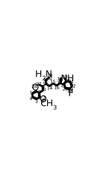 COc1cccc2c1C[C@H](C(CCN)CCCc1c[nH]c3ccc(F)cc13)CO2